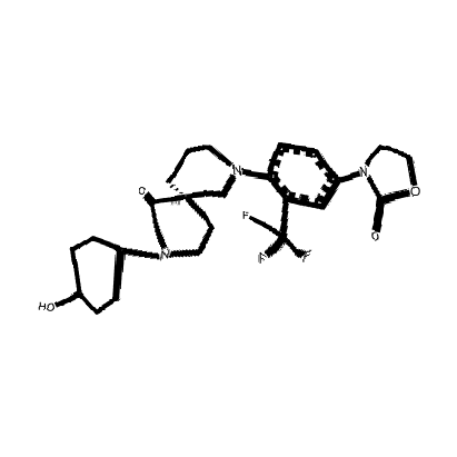 O=C1OCCN1c1ccc(N2CCC[C@@]3(CCN(C4CCC(O)CC4)C3=O)C2)c(C(F)(F)F)c1